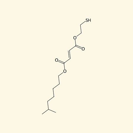 CC(C)CCCCCOC(=O)C=CC(=O)OCCS